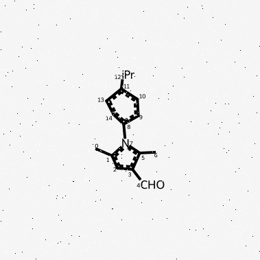 Cc1cc(C=O)c(C)n1-c1ccc(C(C)C)cc1